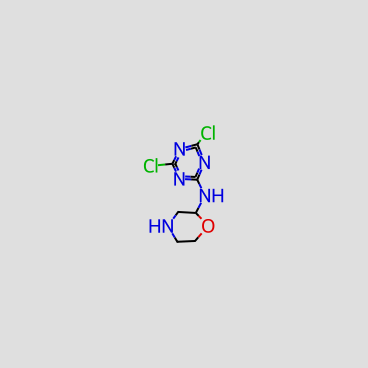 Clc1nc(Cl)nc(NC2CNCCO2)n1